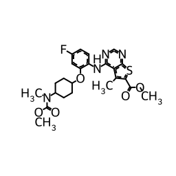 COC(=O)c1sc2ncnc(Nc3ccc(F)cc3OC3CCC(N(C)C(=O)OC)CC3)c2c1C